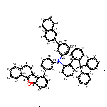 c1ccc(C2(c3ccccc3)c3ccccc3-c3c(N(c4cccc(-c5ccc6ccccc6c5)c4)c4cccc(-c5cccc6oc7c8ccccc8ccc7c56)c4)cccc32)cc1